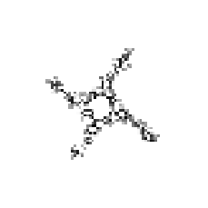 C[N+](C)(C)CCCOc1ccc(C2=C3C=CC(=N3)C(c3ccc(OCCC[N+](C)(C)C)cc3)=C3C=CC(=N3)C(c3ccc(OCCC[N+](C)(C)C)cc3)=C3C=CC(=N3)C(c3ccc(OCCC[N+](C)(C)C)cc3)=C3C=CC2=N3)cc1.[Cl-].[Cl-].[Cl-].[Cl-]